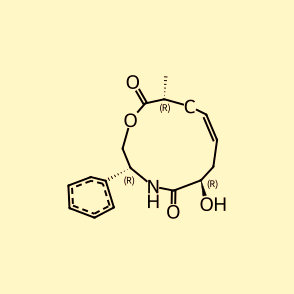 C[C@@H]1CC=CC[C@@H](O)C(=O)N[C@H](c2ccccc2)COC1=O